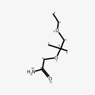 CCOCC(C)(C)OCC(N)=O